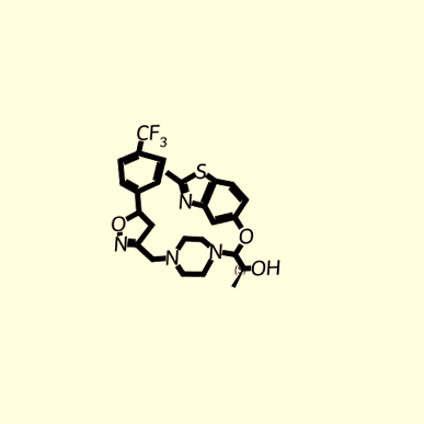 Cc1nc2cc(OC([C@H](C)O)N3CCN(CC4=NOC(c5ccc(C(F)(F)F)cc5)C4)CC3)ccc2s1